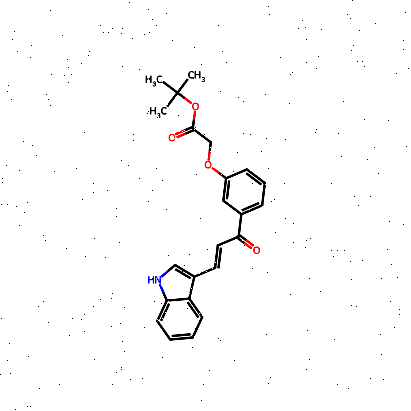 CC(C)(C)OC(=O)COc1cccc(C(=O)/C=C/c2c[nH]c3ccccc23)c1